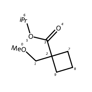 COCC1(C(=O)OC(C)C)CCC1